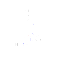 CNC(=O)Cn1c(=O)n(C2CCN(C3CCCc4c(C)cc(C)cc43)CC2)c2ccccc21